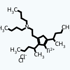 CCCCN(CCCC)CCC1=C(C(C)CCC)[C]([Ti+2])=C(C(C)CCC)C1.[Cl-].[Cl-]